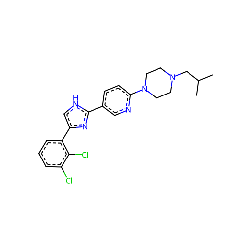 CC(C)CN1CCN(c2ccc(-c3nc(-c4cccc(Cl)c4Cl)c[nH]3)cn2)CC1